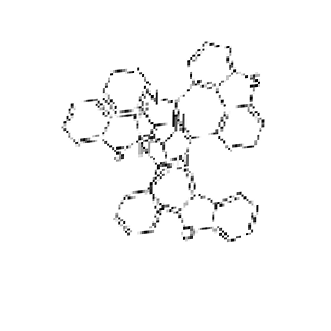 c1ccc(-c2nc(-c3ccccc3)nc(-c3cccc4sc5cccc(-c6nc(-c7ccc8oc9ccccc9c8c7)c7sc8ccccc8c7n6)c5c34)n2)cc1